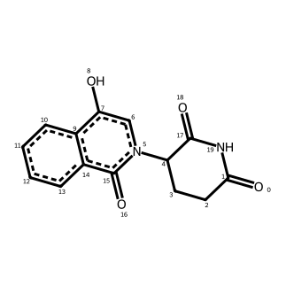 O=C1CCC(n2cc(O)c3ccccc3c2=O)C(=O)N1